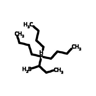 BC(CC)[PH](CCCC)(CCCC)CCCC